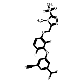 Cn1c(COc2ccc(Cl)c(Oc3cc(C#N)cc(C(F)F)c3)c2F)nnc1S(C)(=O)=O